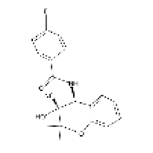 CC1(C)Oc2ccccc2[C@H](NC(=O)c2ccc(F)cc2)[C@]1(O)C#N